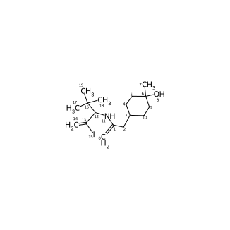 C=C(CC1CCC(C)(O)CC1)NC(C(=C)I)C(C)(C)C